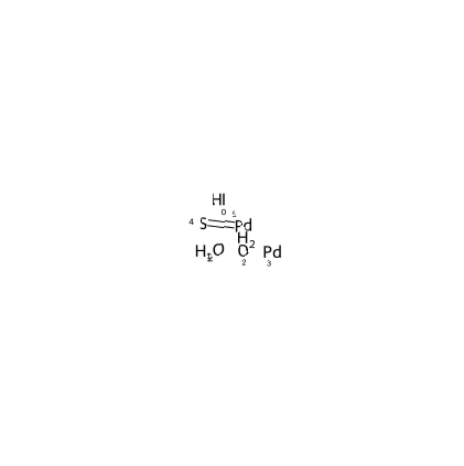 I.O.O.[Pd].[S]=[Pd]